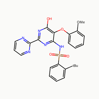 COc1ccccc1Oc1c(O)nc(-c2ncccn2)nc1NS(=O)(=O)c1ccccc1C(C)(C)C